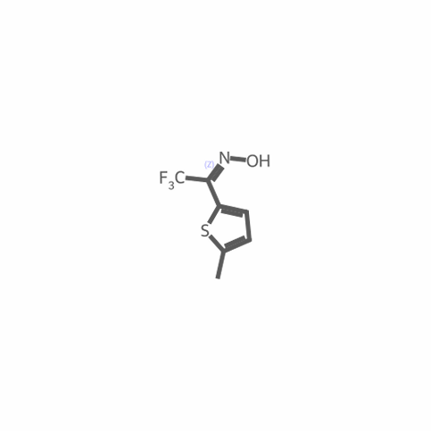 Cc1ccc(/C(=N\O)C(F)(F)F)s1